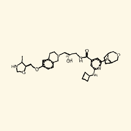 CC1NCOC1COc1ccc2c(c1)CCN(C[C@@H](O)CNC(=O)c1cc(NC3CCC3)nc(N3C4CCC3COC4)c1)C2